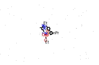 CCCc1ccc(S(=O)(=O)NC(=O)OCCOCC)c(-c2ccc(Cn3c(CC)nc4c(C)cc(C)nc43)cc2)c1